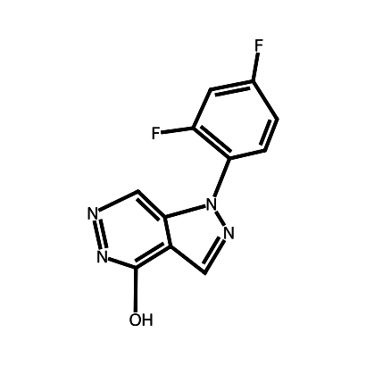 Oc1nncc2c1cnn2-c1ccc(F)cc1F